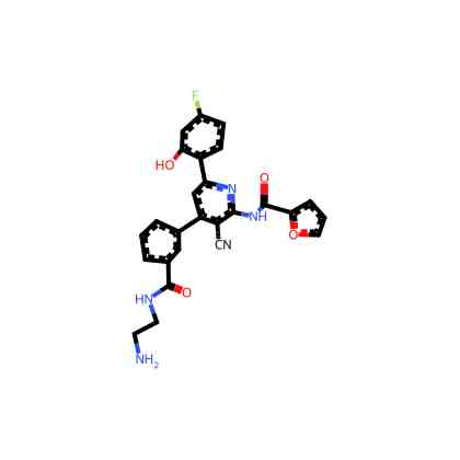 N#Cc1c(-c2cccc(C(=O)NCCN)c2)cc(-c2ccc(F)cc2O)nc1NC(=O)c1ccco1